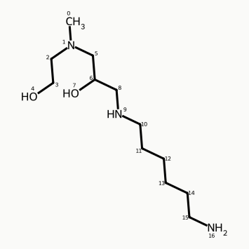 CN(CCO)CC(O)CNCCCCCCN